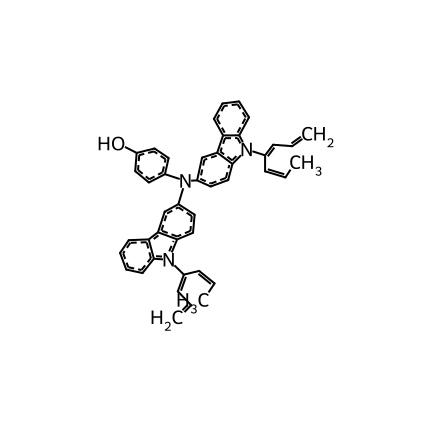 C=C/C=C(\C=C/C)n1c2ccccc2c2cc(N(c3ccc(O)cc3)c3ccc4c(c3)c3ccccc3n4C(/C=C\C)=C/C=C)ccc21